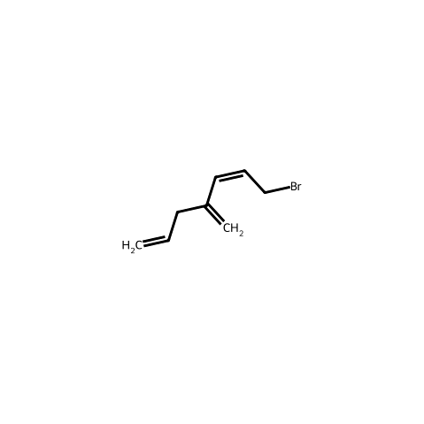 C=CCC(=C)/C=C\CBr